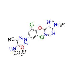 CCOC(=O)NC(=O)C(C#N)=NNc1cc(Cl)c(Oc2ncnc3c2ncn3C(C)C)c(Cl)c1